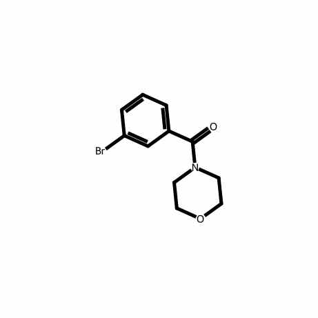 O=C(c1cccc(Br)c1)N1CCOCC1